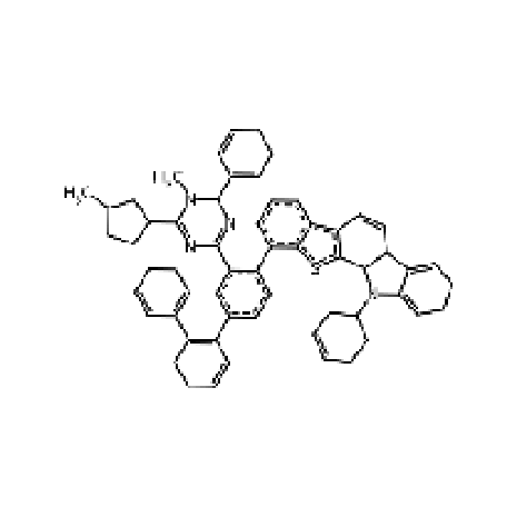 CC1CCC(C2=NC(c3cc(C4=C(C5=CCCC=C5)CCC=C4)ccc3-c3cccc4c5c(sc34)C3C(C=C5)C4=CCCC=C4N3C3CC=CCC3)=NC(C3=CCCC=C3)N2C)C1